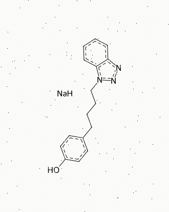 Oc1ccc(CCCCn2nnc3ccccc32)cc1.[NaH]